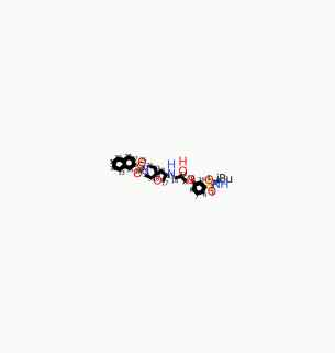 CCC(C)NS(=O)(=O)c1cccc(OC[C@@H](O)CNC2COC3(CCN(S(=O)(=O)c4ccc5ccccc5c4)CC3)C2)c1